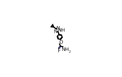 NC/C(=C\F)COc1ccc(-c2nc(C3CC3)n[nH]2)cc1